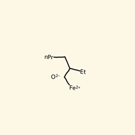 CCCCC(CC)[CH2][Fe+2].[O-2]